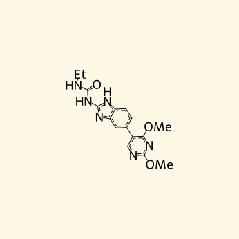 CCNC(=O)Nc1nc2cc(-c3cnc(OC)nc3OC)ccc2[nH]1